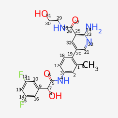 Cc1cc(NC(=O)C(O)c2cc(F)cc(F)c2)ccc1-c1cnc(N)c(C(=O)NCCO)c1